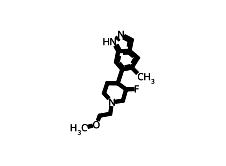 COCCN1CCC(c2cc3[nH]ncc3cc2C)C(F)C1